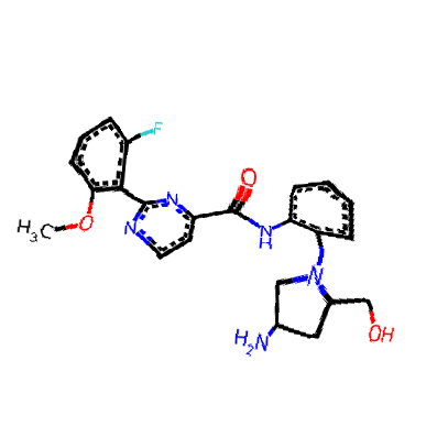 COc1cccc(F)c1-c1nccc(C(=O)Nc2ccccc2N2CC(N)CC2CO)n1